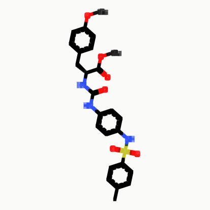 Cc1ccc(S(=O)(=O)Nc2ccc(NC(=O)N[C@@H](Cc3ccc(OC(C)(C)C)cc3)C(=O)OC(C)(C)C)cc2)cc1